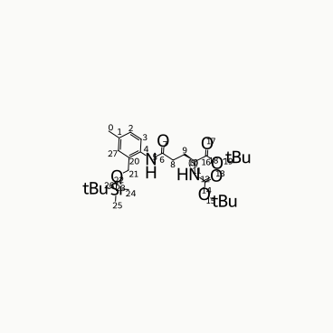 Cc1ccc(NC(=O)CC[C@H](NC(=O)OC(C)(C)C)C(=O)OC(C)(C)C)c(CO[Si](C)(C)C(C)(C)C)c1